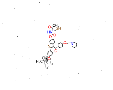 CC(=O)C(CS)NC(=O)Oc1ccc2c(C(=O)c3ccc(OCCN4CCCCC4)cc3)c(-c3ccc(O[Si](C)(C)C(C)(C)C)cc3)sc2c1